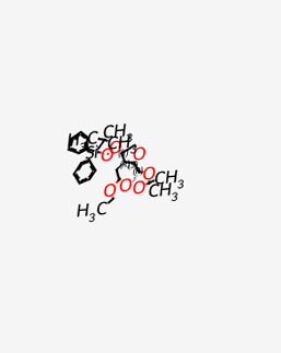 CCOC(=O)C[C@@H]1[C@@H]([C@H]2COC(C)(C)O2)OC[C@@H]1OO[Si](c1ccccc1)(c1ccccc1)C(C)(C)C